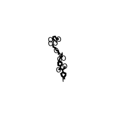 CN(CCOCCC(=O)ON1C(=O)CCC1=O)C(=O)Oc1ccc2c(c1)OCC(c1ccc(F)cc1)C2=O